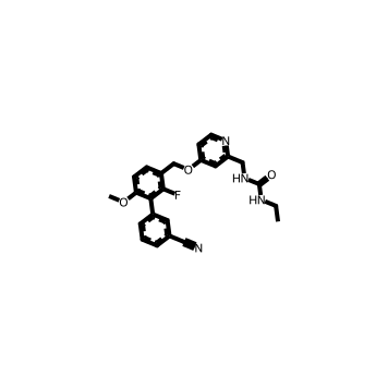 CCNC(=O)NCc1cc(OCc2ccc(OC)c(-c3cccc(C#N)c3)c2F)ccn1